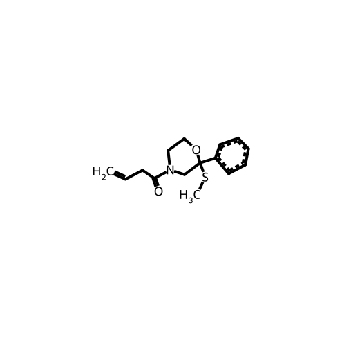 C=CCC(=O)N1CCOC(SC)(c2ccccc2)C1